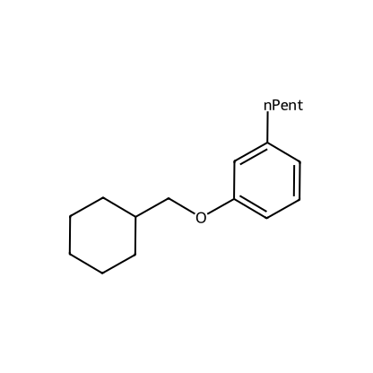 CCCCCc1cccc(OCC2CCCCC2)c1